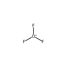 F[O+](F)F